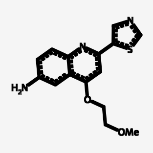 COCCOc1cc(-c2cncs2)nc2ccc(N)cc12